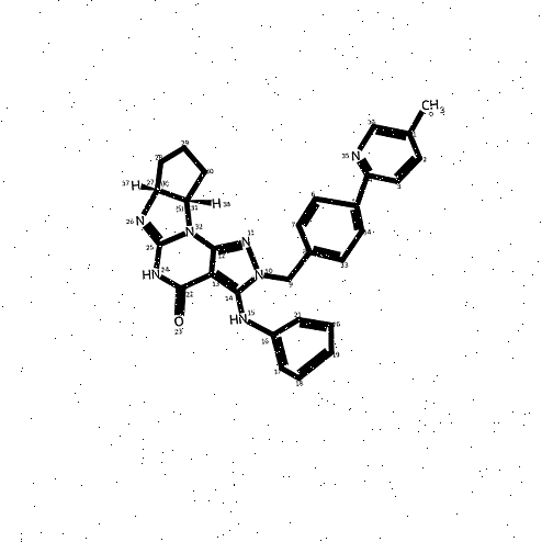 Cc1ccc(-c2ccc(Cn3nc4c(c3Nc3ccccc3)C(=O)NC3=N[C@@H]5CCC[C@@H]5N34)cc2)nc1